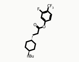 CCCC[C@H]1CC[C@H](CCC(=O)Oc2ccc(C(F)(F)F)c(F)c2)CC1